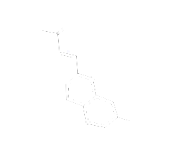 Cc1ccc2ccc(/C=C/C(=O)O)nc2c1